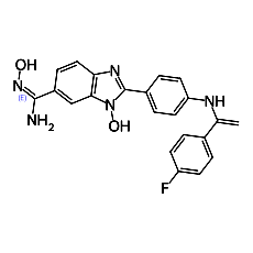 C=C(Nc1ccc(-c2nc3ccc(/C(N)=N\O)cc3n2O)cc1)c1ccc(F)cc1